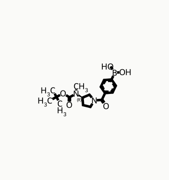 CN(C(=O)OC(C)(C)C)[C@@H]1CCN(C(=O)c2ccc(B(O)O)cc2)C1